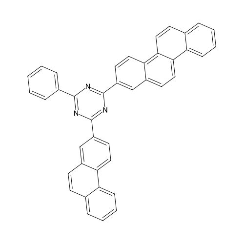 c1ccc(-c2nc(-c3ccc4c(ccc5ccccc54)c3)nc(-c3ccc4c(ccc5c6ccccc6ccc45)c3)n2)cc1